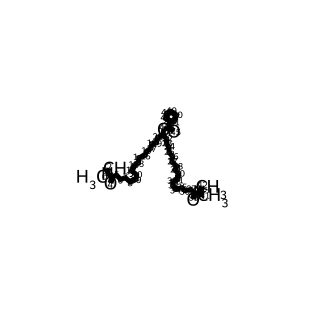 CN(C)C(=O)CCC/C=C\C/C=C\CCCCCCCCC(CCCCCCCC/C=C\C/C=C\CCCC(=O)N(C)C)OC(=O)c1ccccc1